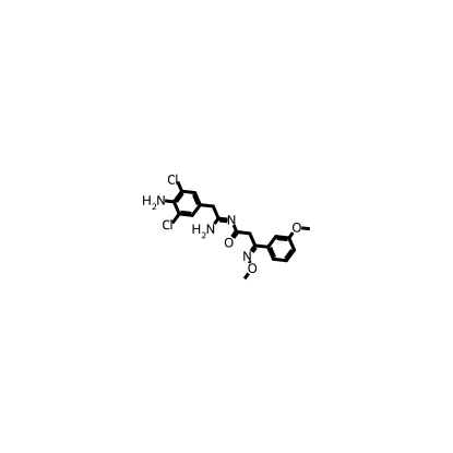 CON=C(CC(=O)/N=C(\N)Cc1cc(Cl)c(N)c(Cl)c1)c1cccc(OC)c1